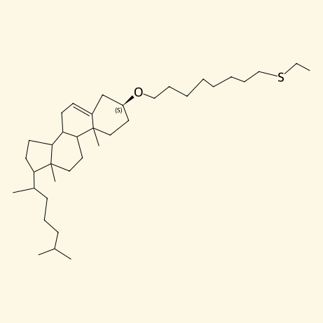 CCSCCCCCCCCO[C@H]1CCC2(C)C(=CCC3C2CCC2(C)C(C(C)CCCC(C)C)CCC32)C1